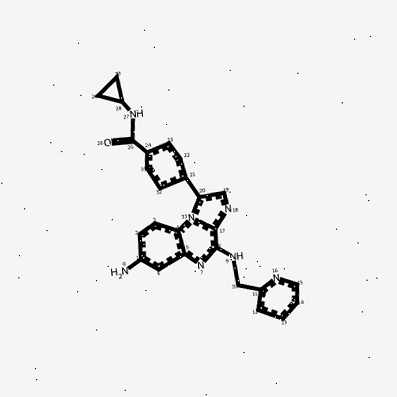 Nc1ccc2c(c1)nc(NCc1ccccn1)c1ncc(-c3ccc(C(=O)NC4CC4)cc3)n12